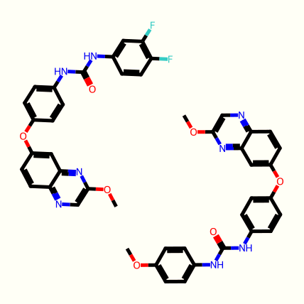 COc1ccc(NC(=O)Nc2ccc(Oc3ccc4ncc(OC)nc4c3)cc2)cc1.COc1cnc2ccc(Oc3ccc(NC(=O)Nc4ccc(F)c(F)c4)cc3)cc2n1